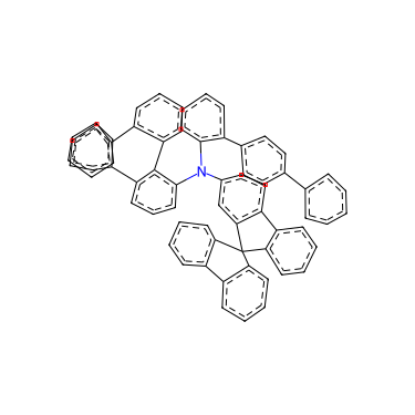 c1ccc(-c2ccc(-c3ccccc3N(c3ccc4c(c3)C3(c5ccccc5-c5ccccc53)c3ccccc3-4)c3cccc(-c4ccccc4)c3-c3ccccc3-c3ccccc3)cc2)cc1